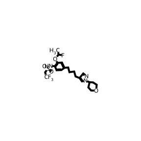 CC(F)Oc1cc(CCCCc2cnn(C3CCOCC3)c2)ccc1NS(=O)(=O)CC(F)(F)F